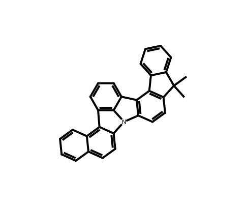 CC1(C)c2ccccc2-c2c1ccc1c2c2cccc3c4c5ccccc5ccc4n1c23